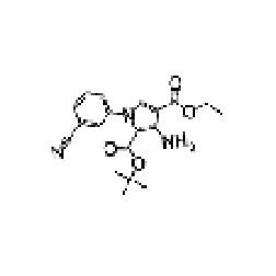 CCOC(=O)c1cn(-c2cccc(C#N)c2)c(C(=O)OC(C)(C)C)c1N